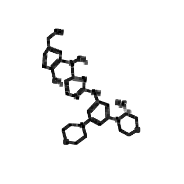 Cc1ccc(CO)cc1N(C)c1ccnc(Nc2cc(N3CCOCC3)cc(N3CCOC[C@H]3C)c2)n1